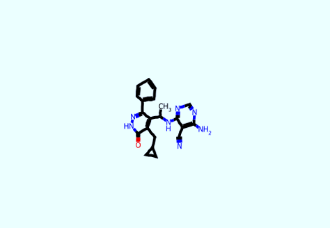 CC(Nc1ncnc(N)c1C#N)c1c(-c2ccccc2)n[nH]c(=O)c1CC1CC1